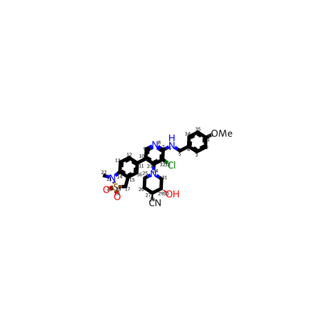 COc1ccc(CNc2ncc(-c3ccc4c(c3)CS(=O)(=O)N4C)c(N3CC[C@H](C#N)[C@@H](O)C3)c2Cl)cc1